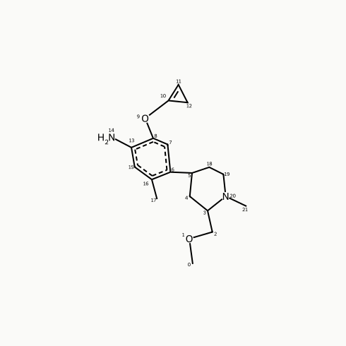 COCC1CC(c2cc(OC3=CC3)c(N)cc2C)CCN1C